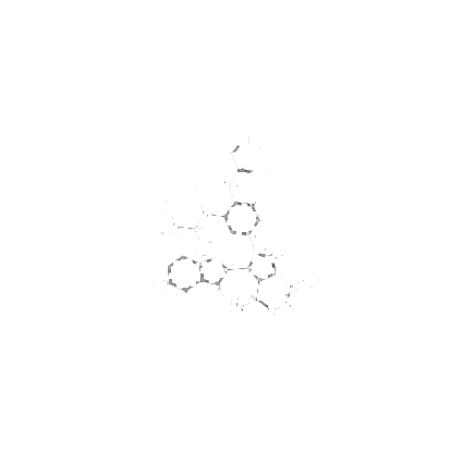 C=CC(=O)Nc1ccc(-n2nc3c(c2-c2oc4ccc(C)cc4c2C)C(N)=NNC3C)cc1N(C)C(C)N(C)C